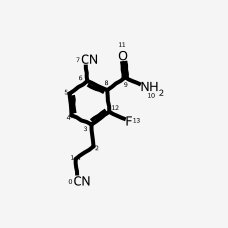 N#C[CH]Cc1ccc(C#N)c(C(N)=O)c1F